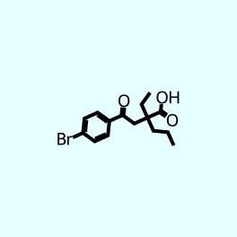 CCCC(CC)(CC(=O)c1ccc(Br)cc1)C(=O)O